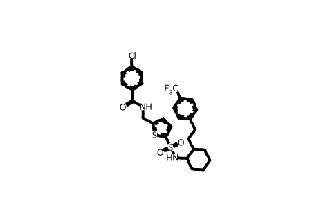 O=C(NCc1ccc(S(=O)(=O)NC2CCCCC2CCc2ccc(C(F)(F)F)cc2)s1)c1ccc(Cl)cc1